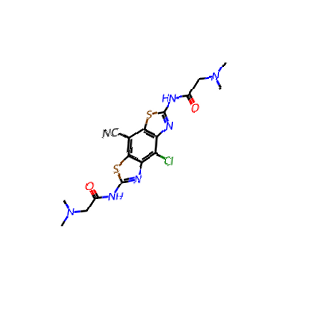 CN(C)CC(=O)Nc1nc2c(Cl)c3nc(NC(=O)CN(C)C)sc3c(C#N)c2s1